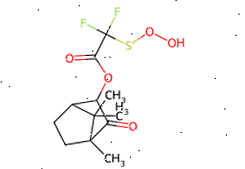 CC12CCC(C(OC(=O)C(F)(F)SOO)C1=O)C2(C)C